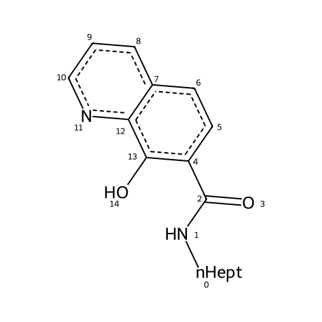 CCCCCCCNC(=O)c1ccc2cccnc2c1O